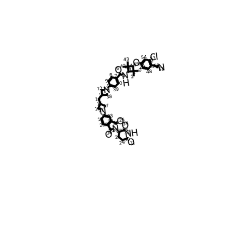 CC1(C)C(NC(=O)c2ccc(N3CC(CC4CN(c5ccc6c(c5)C(=O)N(C5CCC(=O)NC5=O)C6=O)C4)C3)cc2)C(C)(C)C1Oc1ccc(C#N)c(Cl)c1